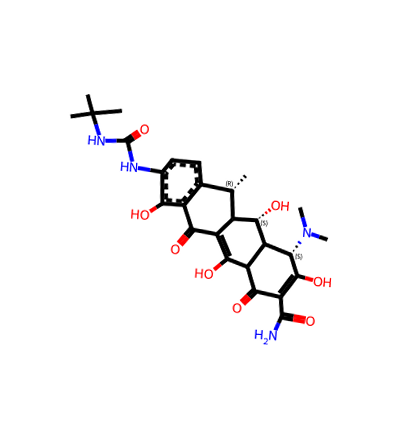 C[C@H]1c2ccc(NC(=O)NC(C)(C)C)c(O)c2C(=O)C2=C(O)C3C(=O)C(C(N)=O)=C(O)[C@@H](N(C)C)C3[C@@H](O)C21